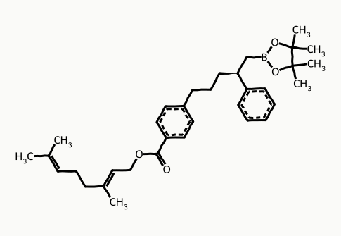 CC(C)=CCC/C(C)=C/COC(=O)c1ccc(CCC[C@@H](CB2OC(C)(C)C(C)(C)O2)c2ccccc2)cc1